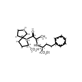 CCOC(=O)[C@H](CCc1ccccc1)NC(C)C(=O)N1[C@H](C(=O)O)CCC12CCSC2